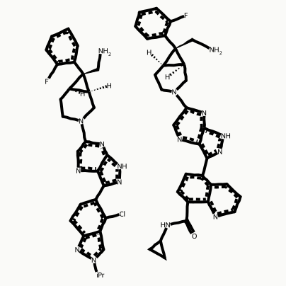 CC(C)n1cc2c(Cl)c(-c3n[nH]c4nc(N5CC[C@@H]6[C@H](C5)[C@@]6(CN)c5ccccc5F)cnc34)ccc2n1.NC[C@]1(c2ccccc2F)[C@@H]2CCN(c3cnc4c(-c5ccc(C(=O)NC6CC6)c6ncccc56)n[nH]c4n3)C[C@@H]21